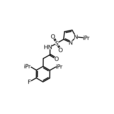 CC(C)c1ccc(F)c(C(C)C)c1CC(=O)NS(=O)(=O)c1ccn(C(C)C)n1